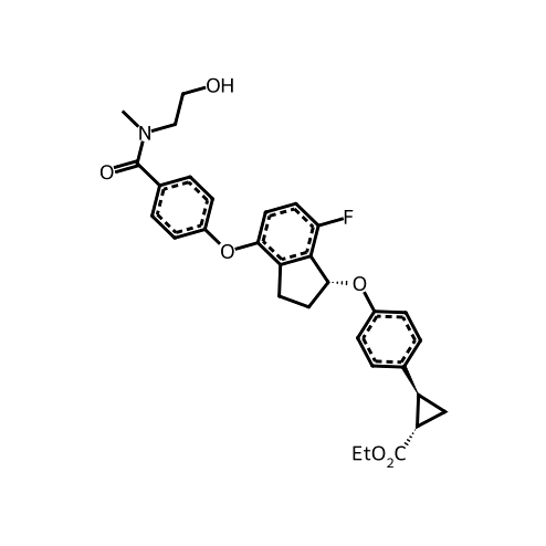 CCOC(=O)[C@H]1C[C@@H]1c1ccc(O[C@@H]2CCc3c(Oc4ccc(C(=O)N(C)CCO)cc4)ccc(F)c32)cc1